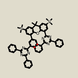 CC1(C)c2cc([Si](C)(C)C)cc(-c3cccc(-c4nc(-c5ccccc5)nc(-c5ccccc5)n4)c3)c2Oc2c(-c3nc(-c4ccccc4)nc(-c4ccccc4)n3)cc([Si](C)(C)C)cc21